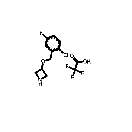 Fc1ccc(Cl)c(COC2CNC2)c1.O=C(O)C(F)(F)F